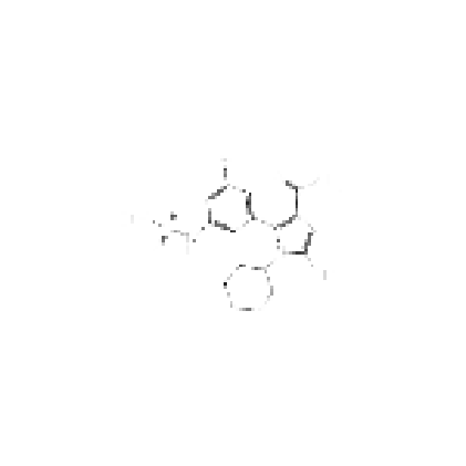 Cc1cc(C(N)=O)c(-c2cc(Br)cc(NS(C)(=O)=O)c2)n1C1CCCCC1